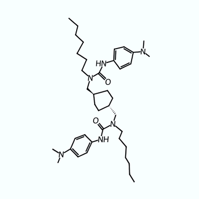 CCCCCCCN(C[C@H]1CC[C@H](CN(CCCCCCC)C(=O)Nc2ccc(N(C)C)cc2)CC1)C(=O)Nc1ccc(N(C)C)cc1